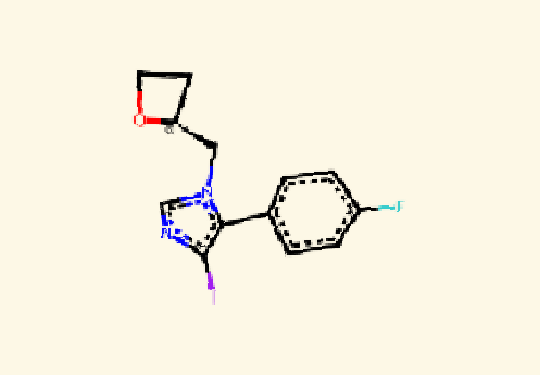 Fc1ccc(-c2c(I)ncn2C[C@@H]2CCO2)cc1